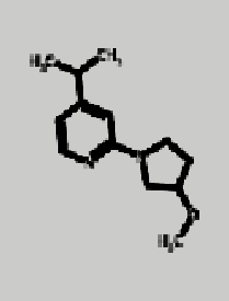 COC1CCN(c2cc(C(C)C)ccn2)C1